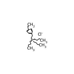 C=Cc1ccc(CC[P+](CCCC)(CCCC)CCCC)cc1.[Cl-]